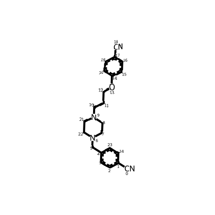 N#Cc1ccc(CN2CCN(CCCOc3ccc(C#N)cc3)CC2)cc1